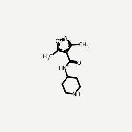 Cc1noc(C)c1C(=O)NC1CCNCC1